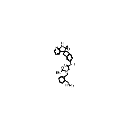 CCNCc1ccccc1CN(CC(=O)Nc1ccc2c(c1)CC1(C2)c2cccnc2NC12CO2)C(=O)C(C)(C)C